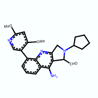 COc1cc(OC)c(-c2cccc3c(N)c4c(nc23)CN(C2CCCC2)C4C=O)cn1